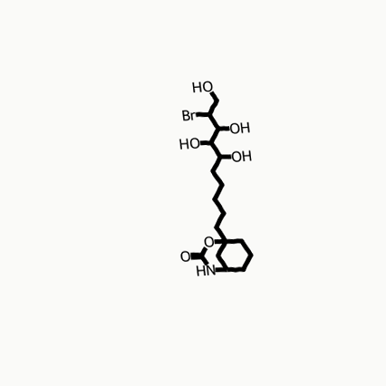 O=C1NC2CCCC(CCCCCC(O)C(O)C(O)C(Br)CO)(C2)O1